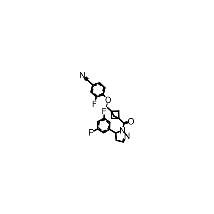 N#Cc1ccc(OCC23CC(C(=O)N4N=CCC4c4cc(F)cc(F)c4)(C2)C3)c(F)c1